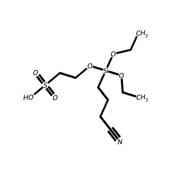 CCO[Si](CCCC#N)(OCC)OCCS(=O)(=O)O